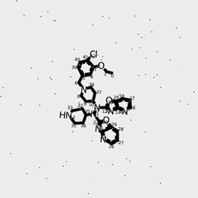 CCOc1cc(CN2CCC(N(c3nc4ncccc4o3)N(c3nc4ncccc4o3)C3CCNCC3)CC2)ccc1Cl